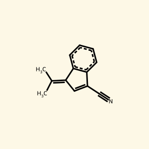 CC(C)=C1C=C(C#N)c2ccccc21